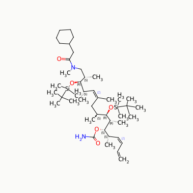 C=C/C=C\[C@H](C)[C@H](OC(N)=O)[C@@H](C)[C@H](O[Si](C)(C)C(C)(C)C)[C@@H](C)C/C(C)=C\[C@H](C)[C@@H](O[Si](C)(C)C(C)(C)C)[C@@H](C)CN(C)C(=O)CC1CCCCC1